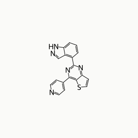 c1cc(-c2nc(-c3ccncc3)c3sccc3n2)c2cn[nH]c2c1